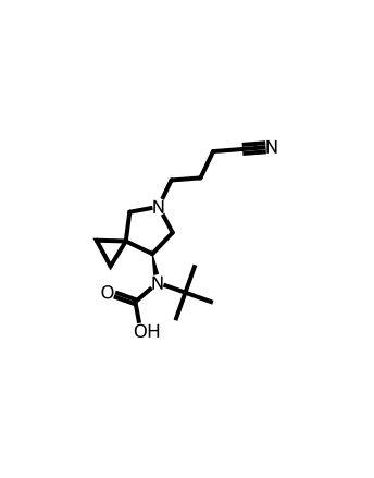 CC(C)(C)N(C(=O)O)[C@@H]1CN(CCCC#N)CC12CC2